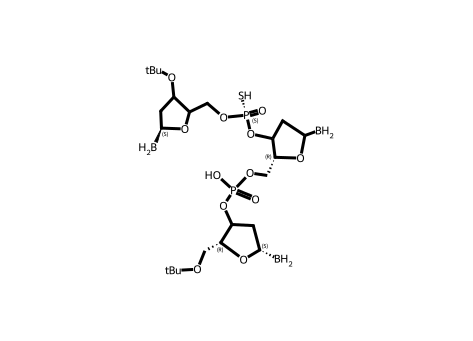 BC1CC(O[P@@](=O)(S)OCC2O[C@@H](B)CC2OC(C)(C)C)[C@@H](COP(=O)(O)OC2C[C@H](B)O[C@@H]2COC(C)(C)C)O1